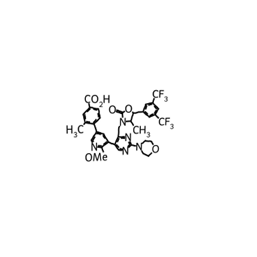 COc1ncc(-c2ccc(C(=O)O)cc2C)cc1-c1cnc(N2CCOCC2)nc1CN1C(=O)OC(c2cc(C(F)(F)F)cc(C(F)(F)F)c2)C1C